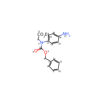 CCOC(=O)CN(C(=O)OCc1ccccc1)c1ccc(N)cc1